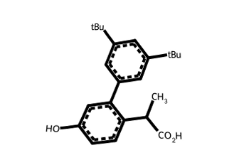 CC(C(=O)O)c1ccc(O)cc1-c1cc(C(C)(C)C)cc(C(C)(C)C)c1